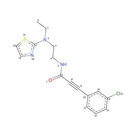 CCN(CCNC(=O)C#Cc1cccc(Cl)c1)c1nccs1